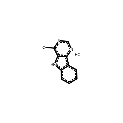 Cl.Clc1ncnc2c1[nH]c1ccccc12